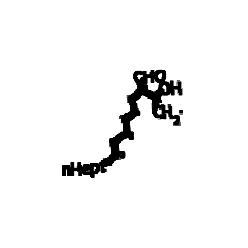 [CH2]C(O)C(C=O)CCCCCCCCCCCCC